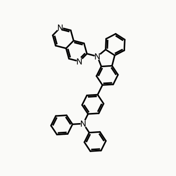 c1ccc(N(c2ccccc2)c2ccc(-c3ccc4c5ccccc5n(-c5cc6cnccc6cn5)c4c3)cc2)cc1